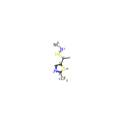 CC([SH]=NC#N)c1cnc(C(F)(F)F)s1